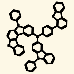 c1ccc(-n2c3ccccc3c3cc(N(c4ccc(-c5cccc6c5sc5ccccc56)cc4)c4ccc5c(c4)c4c6c(ccc4n5-c4ccccc4)oc4ccccc46)ccc32)cc1